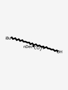 CCC(C)CCCCCCCCCCCCCCCCCCCCCCCCCCCO.CCCCCCCCCCCC(=O)O